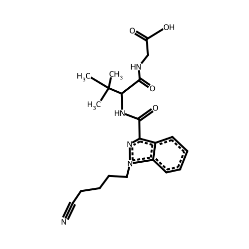 CC(C)(C)C(NC(=O)c1nn(CCCCC#N)c2ccccc12)C(=O)NCC(=O)O